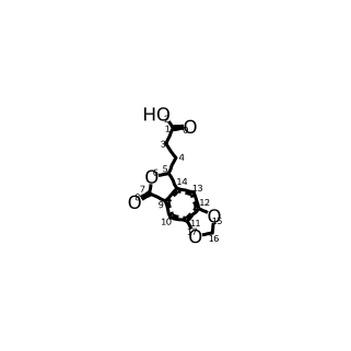 O=C(O)CCC1OC(=O)c2cc3c(cc21)OCO3